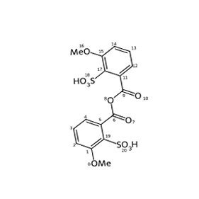 COc1cccc(C(=O)OC(=O)c2cccc(OC)c2S(=O)(=O)O)c1S(=O)(=O)O